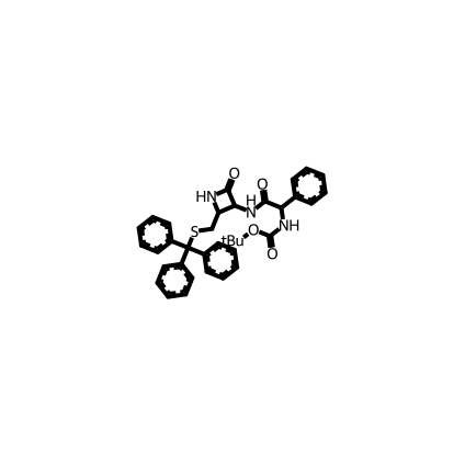 CC(C)(C)OC(=O)NC(C(=O)NC1C(=O)NC1CSC(c1ccccc1)(c1ccccc1)c1ccccc1)c1ccccc1